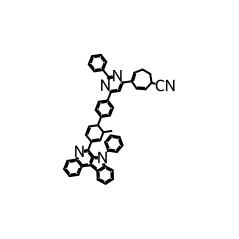 CC1C=C(c2nc3ccccc3c3c4ccccc4n(-c4ccccc4)c23)C=CC1c1ccc(-c2cc(C3=CCCC(C#N)C=C3)nc(-c3ccccc3)n2)cc1